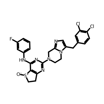 [O-][S+]1CCc2nc(N3CCn4c(Cc5ccc(Cl)c(Cl)c5)cnc4C3)nc(Nc3cccc(F)c3)c21